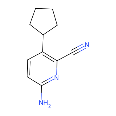 N#Cc1nc(N)ccc1C1CCCC1